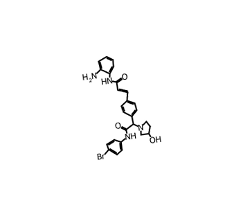 Nc1ccccc1NC(=O)C=Cc1ccc(C(C(=O)Nc2ccc(Br)cc2)N2CCC(O)C2)cc1